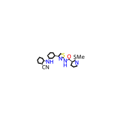 CSc1ncccc1C(=O)Nc1nc(-c2cccc(Nc3ccccc3C#N)c2)cs1